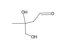 CC(O)(CO)CC=O